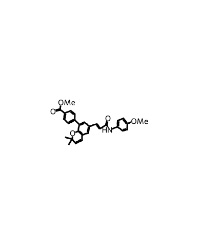 COC(=O)c1ccc(-c2cc(C=CC(=O)Nc3ccc(OC)cc3)cc3c2OC(C)(C)C=C3)cc1